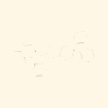 CC1NC(C)C(CCCN2CCC(c3ccccc3)(c3ccccc3)CC2)(C(=O)O)C(c2ccccc2C(F)(F)F)C1(C)C(=O)O